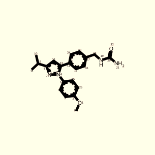 COc1ccc(-n2nc(C(C)C)cc2-c2ccc(CNC(N)=O)cc2)cc1